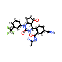 Cc1noc(-c2cc(C#N)ccc2C2C3=C(CCC3=O)N(c3cccc(C(F)(F)F)c3)C(=O)N2C)n1